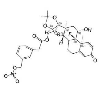 CC1(C)O[C@@H]2C[C@H]3C4CCC5=CC(=O)C=C[C@]5(C)[C@@]4(F)[C@@H](O)C[C@]3(C)[C@]2(C(=O)COC(=O)Cc2cccc(CO[N+](=O)[O-])c2)O1